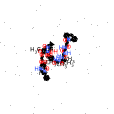 COc1cc2c(cc1OCCCOc1cc3c(cc1OC)C(=O)N1CC4(CC4)C[C@H]1C(O)N3C(=O)OCc1ccc(NC(=O)[C@H](C)NC(=O)[C@@H](NC(=O)CNC(=O)CNC(=O)CCC(=O)N3Cc4ccccc4C#Cc4ccccc43)C(C)C)cc1)NC[C@@H]1CC(c3ccccc3)=CN1C2=O